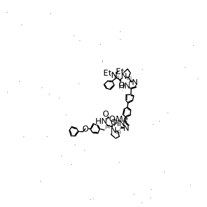 CCN(CC)[C@@H](C(=O)N1CCC[C@H]1c1ncc(-c2ccc(-c3ccc(-c4cnc([C@@H]5CCCN5C(=O)[C@H](Cc5ccc(OCc6ccccc6)cc5)NC(=O)OC)[nH]4)cc3)cc2)[nH]1)c1ccccc1